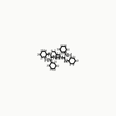 CCC(CNC(=NC1CCCCC1)NC1CCCCC1)NC(=NC1CCCCC1)NC1CCCCC1